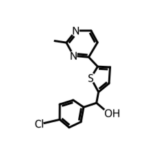 Cc1nccc(-c2ccc(C(O)c3ccc(Cl)cc3)s2)n1